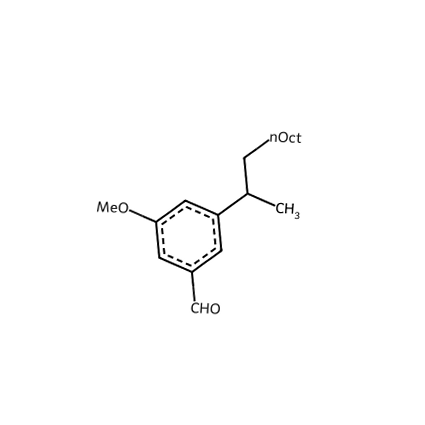 CCCCCCCCCC(C)c1cc(C=O)cc(OC)c1